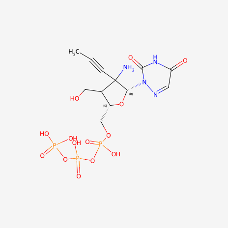 CC#CC1(N)C(CO)[C@@H](COP(=O)(O)OP(=O)(O)OP(=O)(O)O)O[C@H]1n1ncc(=O)[nH]c1=O